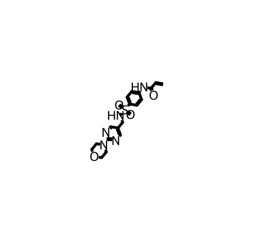 C=CC(=O)Nc1ccc(S(=O)(=O)NCc2cnc(N3CCOCC3)nc2)cc1